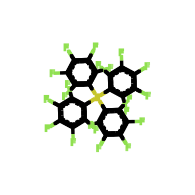 Fc1c(F)c(F)c(S(c2c(F)c(F)c(F)c(F)c2F)(c2c(F)c(F)c(F)c(F)c2F)c2c(F)c(F)c(F)c(F)c2F)c(F)c1F